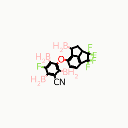 Bc1c(F)c(B)c(Oc2ccc3c4c2C(B)CC4C(F)(F)C3(F)F)c(B)c1C#N